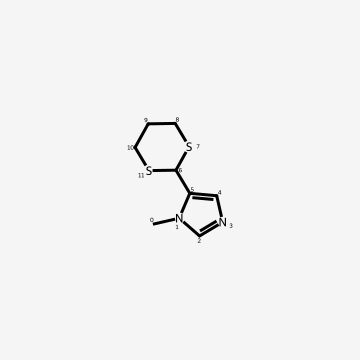 Cn1cncc1C1SCCCS1